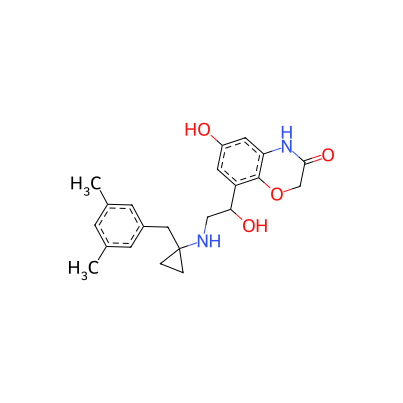 Cc1cc(C)cc(CC2(NCC(O)c3cc(O)cc4c3OCC(=O)N4)CC2)c1